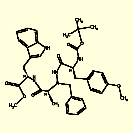 COC(=O)[C@H](Cc1c[nH]c2ccccc12)NC(=O)[C@H](C)N(Cc1ccccc1)NC(=O)[C@H](Cc1ccc(OC)cc1)NC(=O)OC(C)(C)C